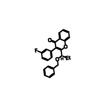 CC[C@@H](OCc1ccccc1)c1oc2ccccc2c(=O)c1-c1cccc(F)c1